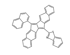 c1ccc2cc3c(cc2c1)C1=C(c2cccc4ccccc24)c2cc4ccccc4cc2C1=C3c1nc2ccccc2s1